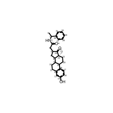 CC(NC(=O)CC1CC2C3CCc4cc(O)ccc4C3CC[C@]2(C)C1=O)c1ccccc1